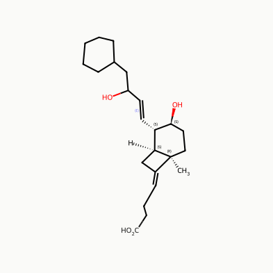 C[C@@]12CC[C@H](O)[C@@H](/C=C/C(O)CC3CCCCC3)[C@@H]1CC2=CCCC(=O)O